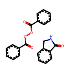 O=C(OOC(=O)c1ccccc1)c1ccccc1.O=C1NCc2ccccc21